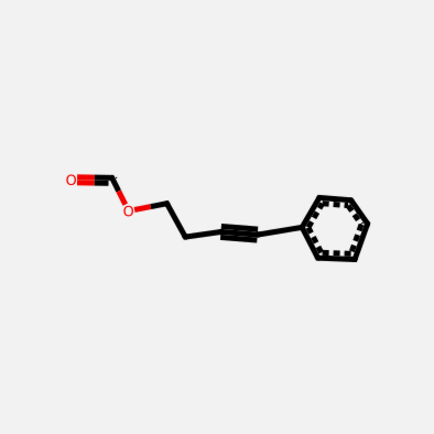 O=[C]OCCC#Cc1ccccc1